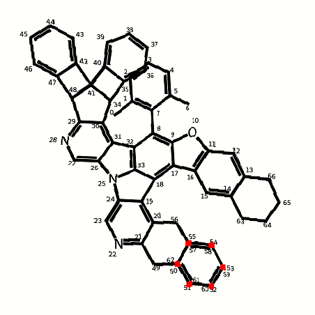 Cc1cccc(C)c1-c1c2oc3cc4c(cc3c2c2c3c5c(ncc3n3c6cnc7c(c6c1c23)C1c2ccccc2C12c1ccccc1C72)C1c2ccccc2C5c2ccccc21)CCCC4